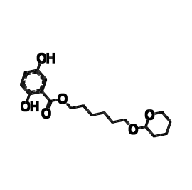 O=C(OCCCCCCOC1CCCCO1)c1cc(O)ccc1O